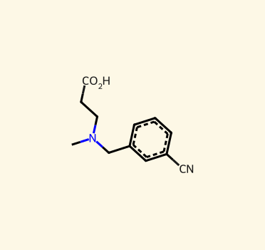 CN(CCC(=O)O)Cc1cccc(C#N)c1